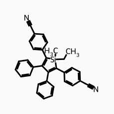 CC[Si]1(C)C(c2ccc(C#N)cc2)=C(c2ccccc2)C(c2ccccc2)=C1c1ccc(C#N)cc1